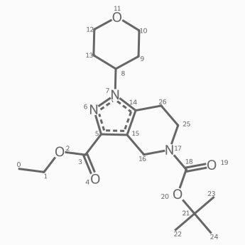 CCOC(=O)c1nn(C2CCOCC2)c2c1CN(C(=O)OC(C)(C)C)CC2